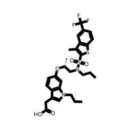 CCCN(C[C@@H](C)Oc1ccc2c(CC(=O)O)cn(CCC)c2c1)S(=O)(=O)c1sc2ccc(C(F)(F)F)cc2c1C